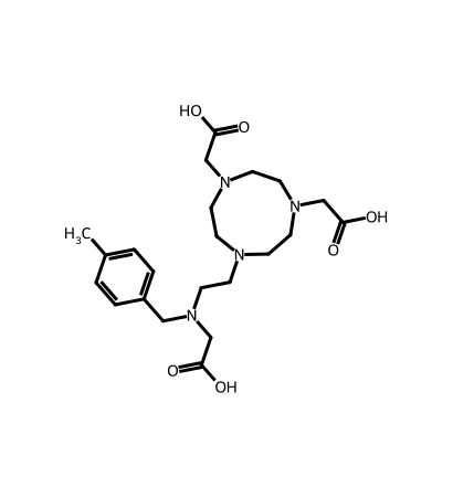 Cc1ccc(CN(CCN2CCN(CC(=O)O)CCN(CC(=O)O)CC2)CC(=O)O)cc1